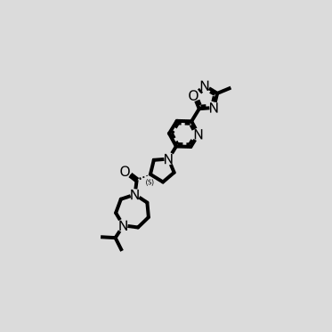 Cc1noc(-c2ccc(N3CC[C@H](C(=O)N4CCCN(C(C)C)CC4)C3)cn2)n1